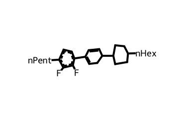 CCCCCCC1CCC(C2C=CC(c3ccc(CCCCC)c(F)c3F)=CC2)CC1